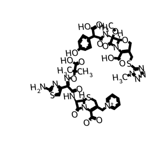 CC(C)(O/N=C(\C(=O)N[C@@H]1C(=O)N2C(C(=O)[O-])=C(C[n+]3ccccc3)CS[C@H]12)c1csc(N)n1)C(=O)O.CO[C@@]1(NC(=O)C(C(=O)O)c2ccc(O)cc2)C(=O)N2C(C(=O)O)=C(CSc3nnnn3C)CO[C@@H]21